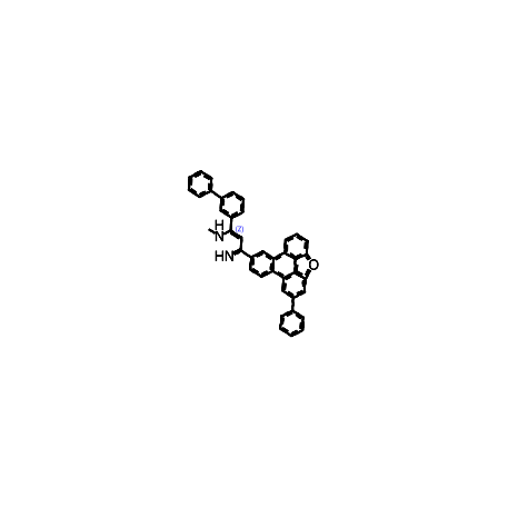 CN/C(=C\C(=N)c1ccc2c(c1)c1cccc3oc4cc(-c5ccccc5)cc2c4c31)c1cccc(-c2ccccc2)c1